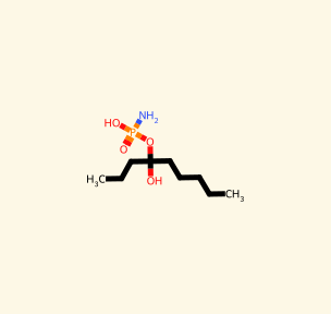 CCCCCC(O)(CCC)OP(N)(=O)O